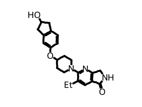 CCc1cc2c(nc1N1CCC(Oc3ccc4c(c3)CC(O)C4)CC1)CNC2=O